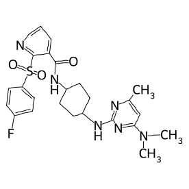 Cc1cc(N(C)C)nc(NC2CCC(NC(=O)c3cccnc3S(=O)(=O)c3ccc(F)cc3)CC2)n1